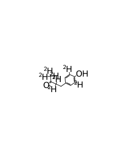 [2H]c1cc(CC([2H])([2H])C(=O)C([2H])([2H])[2H])cc([2H])c1O